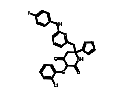 O=C1CC(Cc2cccc(Nc3ccc(F)cc3)n2)(c2ccsc2)NC(=O)C1Sc1ccccc1Cl